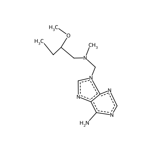 CCC(CN(C)Cn1cnc2c(N)ncnc21)OC